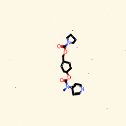 CN(C(=O)OC1CCC(COC(=O)N2CCCC2)CC1)c1ccncc1